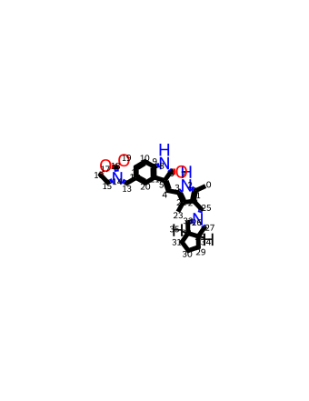 Cc1[nH]c(C=C2C(=O)Nc3ccc(CN4CCOC4=O)cc32)c(C)c1CN1C[C@H]2CCC[C@H]2C1